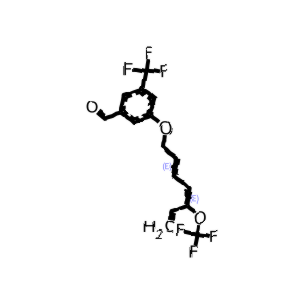 C=C/C(=C\C=C\COc1cc(C=O)cc(C(F)(F)F)c1)OC(F)(F)F